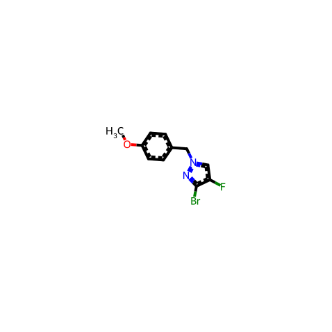 COc1ccc(Cn2cc(F)c(Br)n2)cc1